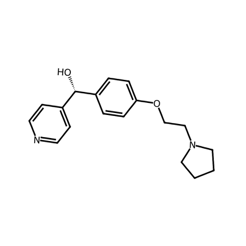 O[C@@H](c1ccncc1)c1ccc(OCCN2CCCC2)cc1